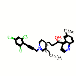 COc1ccc2nccc([C@H](O)CC[C@@H]3CCN(CC#Cc4c(Cl)cc(Cl)cc4Cl)C[C@@H]3CC(=O)O)c2c1